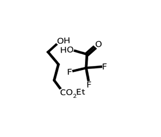 CCOC(=O)CCCO.O=C(O)C(F)(F)F